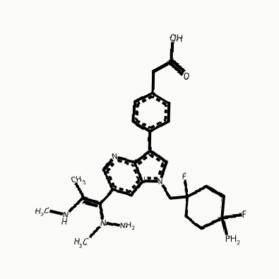 CN/C(C)=C(/c1cnc2c(-c3ccc(CC(=O)O)cc3)cn(CC3(F)CCC(F)(P)CC3)c2c1)N(C)N